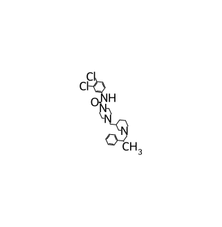 CC(CN1CCCC(CN2CCN(C(=O)Nc3ccc(Cl)c(Cl)c3)CC2)C1)c1ccccc1